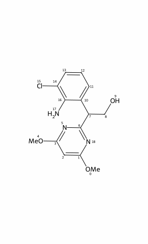 COc1cc(OC)nc(C(CO)c2cccc(Cl)c2N)n1